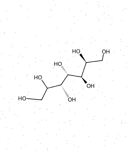 OCC(O)[C@@H](O)[C@H](O)[C@H](O)[C@@H](O)CO